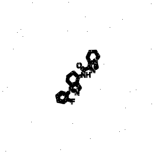 O=C(NC1CCCc2c1cnn2-c1ccccc1F)c1ncn2c1CCCC2